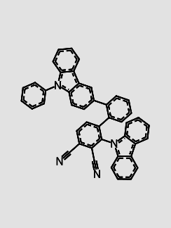 N#Cc1ccc(-c2ccccc2-c2ccc3c(c2)c2ccccc2n3-c2ccccc2)c(-n2c3ccccc3c3ccccc32)c1C#N